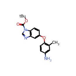 Cc1cc(N)ccc1Oc1ccc2c(c1)ncn2C(=O)OC(C)(C)C